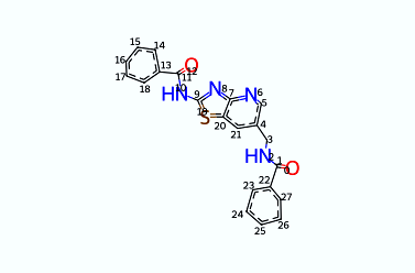 O=C(NCc1cnc2nc(NC(=O)c3ccccc3)sc2c1)c1ccccc1